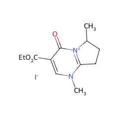 CCOC(=O)c1cn(C)c2[n+](c1=O)C(C)CC2.[I-]